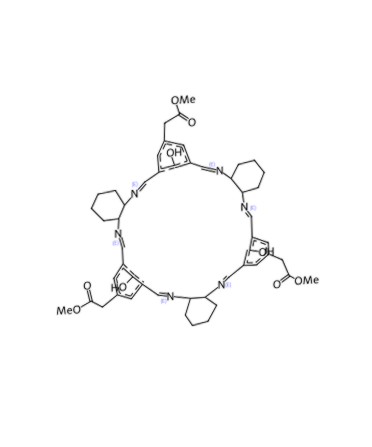 COC(=O)Cc1cc2c(O)c(c1)/C=N/C1CCCCC1/N=C/c1cc(CC(=O)OC)cc(c1O)/C=N/C1CCCCC1/N=C/c1cc(CC(=O)OC)cc(c1O)/C=N/C1CCCCC1/N=C/2